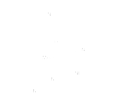 COc1cc2c(NC3CCN(c4cccnc4)CC3)c3c(nc2cc1OCCCN1CCCC1)CCCCC3